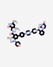 CCN(c1cc(-c2ccc(N3CCN(C4CCN(Cc5ccccc5N5CCC(=O)NC5=O)CC4)CC3)cc2)cc(C(=O)NCc2c(C)cc(C)[nH]c2=O)c1C)C1CCOCC1